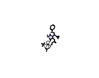 C=C(CCN(CC(C)C)C(=O)OC(C)(C)C)C/C(C(=C)C)=C(C(=C/C(C)C1CCCCC1)\C1CC1)/C(C)=N\C